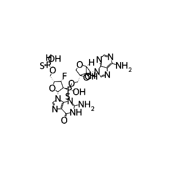 Nc1nc2c(ncn2[C@@H]2O[C@H](CO[PH](O)=S)[C@H](F)[C@H]2P(O)(=S)OC[C@@]23CO[C@@H]([C@H](n4cnc5c(N)ncnc54)O2)[C@@H]3O)c(=O)[nH]1